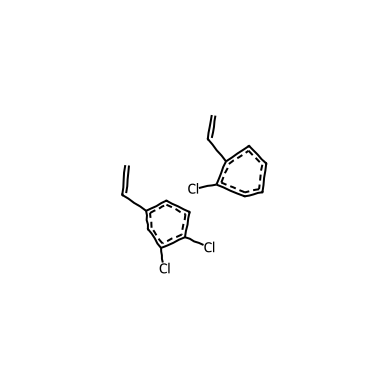 C=Cc1ccc(Cl)c(Cl)c1.C=Cc1ccccc1Cl